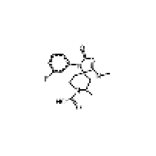 CNC1=NC(=O)N(c2cccc(F)c2)C12CCN(C(=O)O)C(C)C2